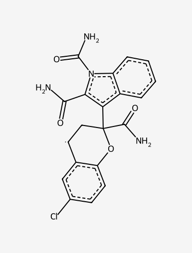 NC(=O)c1c(C2(C(N)=O)C[CH]c3cc(Cl)ccc3O2)c2ccccc2n1C(N)=O